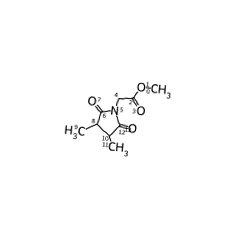 COC(=O)CN1C(=O)C(C)C(C)C1=O